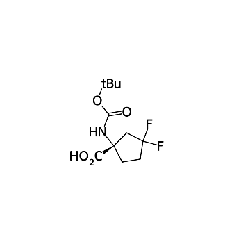 CC(C)(C)OC(=O)N[C@@]1(C(=O)O)CCC(F)(F)C1